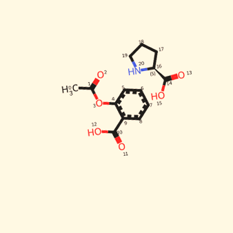 CC(=O)Oc1ccccc1C(=O)O.O=C(O)[C@@H]1CCCN1